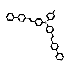 Cc1ccc(N(c2ccc(C=Cc3ccc(-c4ccccc4)cc3)cc2)c2ccc(C=Cc3ccc(-c4ccccc4)cc3)cc2)cc1